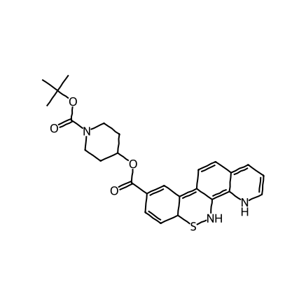 CC(C)(C)OC(=O)N1CCC(OC(=O)C2=CC3=c4ccc5c(c4NSC3C=C2)NC=CC=5)CC1